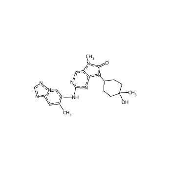 Cc1cc2ncnn2cc1Nc1ncc2c(n1)n(C1CCC(C)(O)CC1)c(=O)n2C